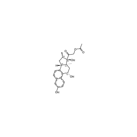 CC(=O)OCC(=O)[C@@]1(O)[C@H](C)C[C@H]2c3ccc4cc(O)ccc4c3[C@@H](O)C[C@@]21C